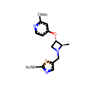 COc1cc(O[C@H]2CN(Cc3cnc(NC(C)=O)s3)[C@@H]2C)ccn1